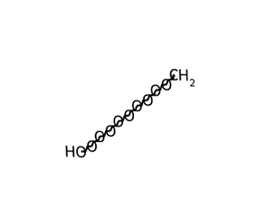 C=CCOCCOCCOCCOCCOCCOCCOCCOCCOCCO